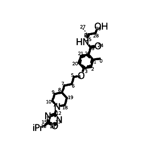 Cc1cc(OCCCC2CCN(c3noc(C(C)C)n3)CC2)ccc1C(=O)N[C@H](C)CO